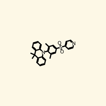 Cc1cc(S(=O)(=O)c2ccncc2)cc(C)c1N1c2ccccc2C(C)(C)c2ccccc21